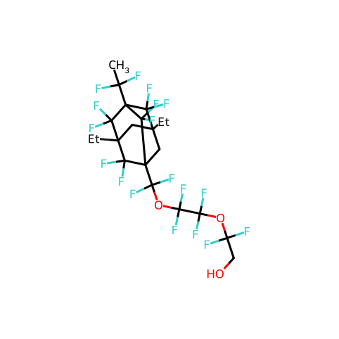 CCC12CC3(CC)C(F)(F)C(C(F)(F)OC(F)(F)C(F)(F)OC(F)(F)CO)(C1)C(F)(F)C(C(C)(F)F)(C2(F)F)C3(F)F